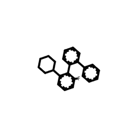 Fc1cccc(C2CCCCC2)c1-c1ccccc1-c1ccccc1